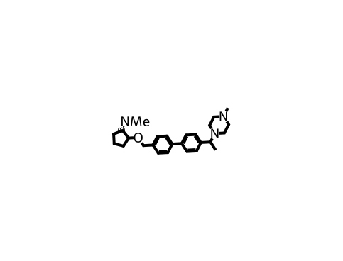 CN[C@H]1CCCC1OCc1ccc(-c2ccc(C(C)N3CCN(C)CC3)cc2)cc1